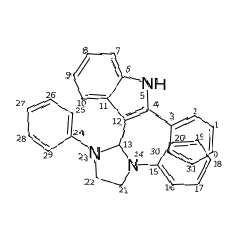 c1ccc(-c2[nH]c3ccccc3c2C2N(c3ccccc3)CCN2c2ccccc2)cc1